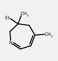 CCC1(C)CN=CC=C(C)C1